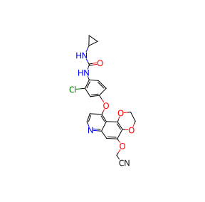 N#CCOc1cc2nccc(Oc3ccc(NC(=O)NC4CC4)c(Cl)c3)c2c2c1OCCO2